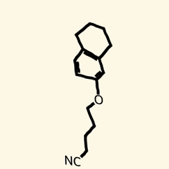 N#CCCCCOc1ccc2c(c1)CCCC2